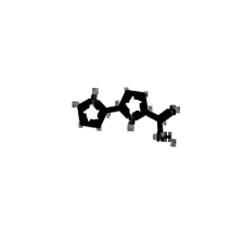 NC(=S)c1ccc(-c2cccs2)s1